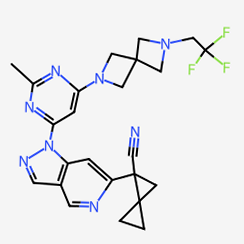 Cc1nc(N2CC3(CN(CC(F)(F)F)C3)C2)cc(-n2ncc3cnc(C4(C#N)CC45CC5)cc32)n1